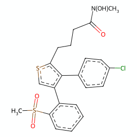 CN(O)C(=O)CCCc1scc(-c2ccccc2S(C)(=O)=O)c1-c1ccc(Cl)cc1